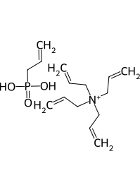 C=CCP(=O)(O)O.C=CC[N+](CC=C)(CC=C)CC=C